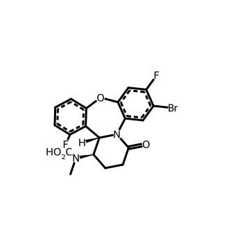 CN(C(=O)O)[C@@H]1CCC(=O)N2c3cc(Br)c(F)cc3Oc3cccc(F)c3[C@@H]12